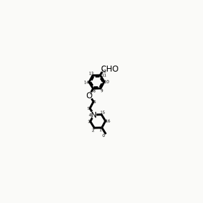 CC1CCN(CCOc2ccc(C=O)cc2)CC1